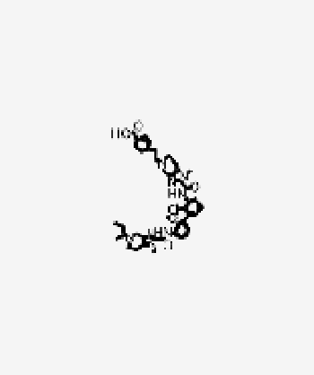 CCC(C)N1CCc2c(nc(C(=O)Nc3cccc(-c4cccc(NC(=O)c5nc6c(n5C)CCN(CCC57CCC(C(=O)O)(CC5)C7)C6)c4Cl)c3OC)n2C)C1